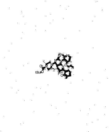 Cc1cccc(-c2nc3c(cc2F)c(N2C[C@@H](C)N(C(=O)OC(C)(C)C)C[C@@H]2C)nc(=O)n3-c2c(OCCI)ccnc2C(C)C)c1O